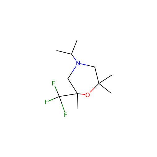 CC(C)N1CC(C)(C)OC(C)(C(F)(F)F)C1